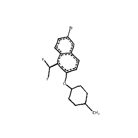 CC1CCC(Oc2ccc3cc(Br)ccc3c2C(F)F)CC1